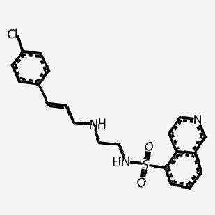 O=S(=O)(NCCNC/C=C/c1ccc(Cl)cc1)c1cccc2cnccc12